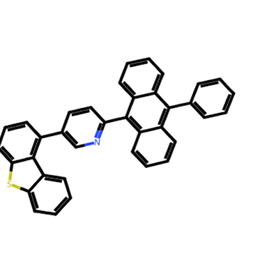 c1ccc(-c2c3ccccc3c(-c3ccc(-c4cccc5sc6ccccc6c45)cn3)c3ccccc23)cc1